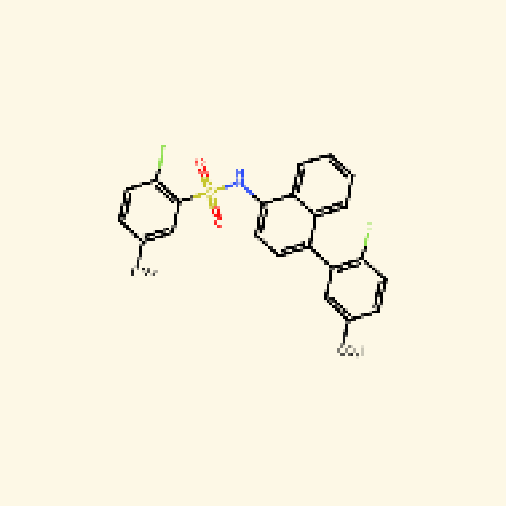 COc1ccc(F)c(S(=O)(=O)Nc2ccc(-c3cc(C(=O)O)ccc3F)c3ccccc23)c1